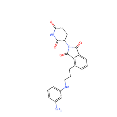 Nc1cccc(NCCCc2cccc3c2C(=O)N(C2CCC(=O)NC2=O)C3=O)c1